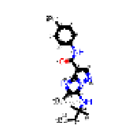 CC(C)c1ccc(NC(=O)c2cnn3c(NC(C)(C)CC(C)(C)C)c(C(C)(C)C)[nH]c23)cc1